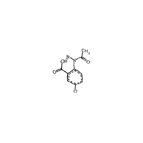 CC(=O)N(Br)c1ccc(Cl)cc1C(=O)O